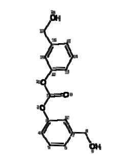 O=C(Oc1cccc(CO)c1)Oc1cccc(CO)c1